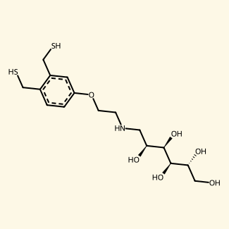 OC[C@@H](O)[C@@H](O)[C@H](O)[C@@H](O)CNCCOc1ccc(CS)c(CS)c1